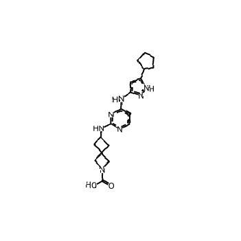 O=C(O)N1CC2(CC(Nc3nccc(Nc4cc(C5CCCC5)[nH]n4)n3)C2)C1